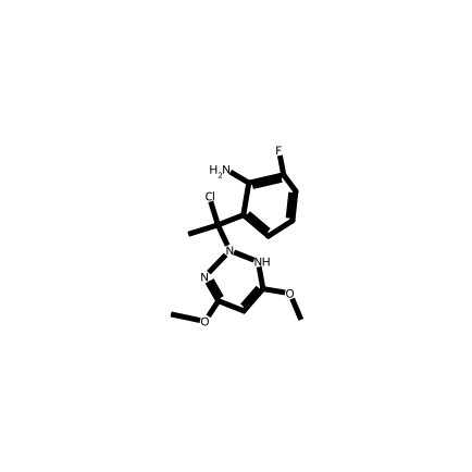 COC1=CC(OC)=NN(C(C)(Cl)c2cccc(F)c2N)N1